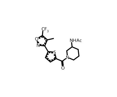 CC(=O)NC1CCCN(C(=O)c2ccc(-c3noc(C(F)(F)F)c3C)s2)C1